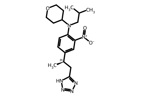 CC(C)CN(c1ccc([C@H](C)Cc2nnn[nH]2)cc1[N+](=O)[O-])C1CCOCC1